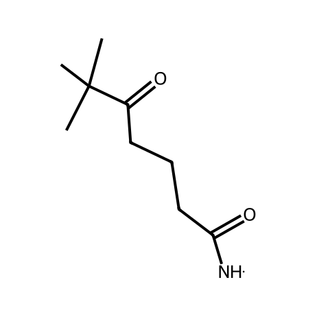 CC(C)(C)C(=O)CCCC([NH])=O